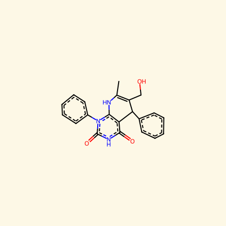 CC1=C(CO)C(c2ccccc2)c2c(n(-c3ccccc3)c(=O)[nH]c2=O)N1